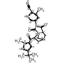 Cc1cc(N2C(=O)C3CN4CC(C(=O)c5cc(C(C)(C)C)nn5C)[N+]3(C4)C2=O)cnc1C#N